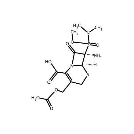 COP(=O)(N(C)C)[C@]1(N)C(=O)N2C(C(=O)O)=C(COC(C)=O)CS[C@@H]21